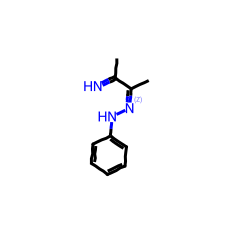 CC(=N)/C(C)=N\Nc1ccccc1